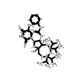 Cc1cn([C@@H]2O[C@H]3CO[Si](C(C)C)(C(C)C)O[Si](C(C)C)(C(C)C)O[C@@H]3[C@H]2OC(=S)Oc2ccccc2)c(=O)[nH]c1=O